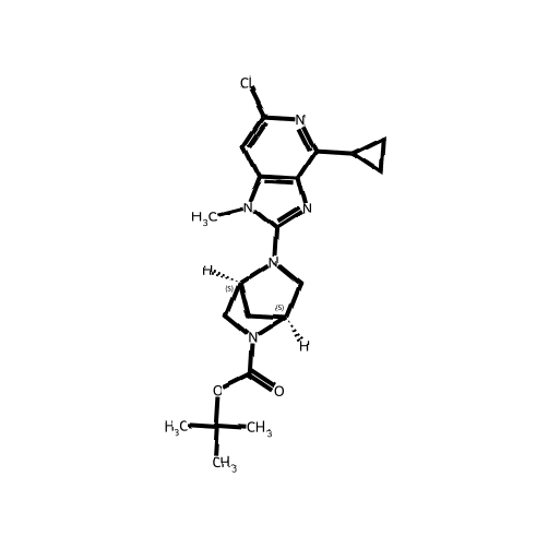 Cn1c(N2C[C@@H]3C[C@H]2CN3C(=O)OC(C)(C)C)nc2c(C3CC3)nc(Cl)cc21